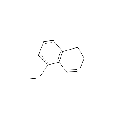 COc1cccc2c1C=NCC2.Cl